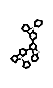 c1ccc(-n2c3ccccc3c3cc(-c4cc(-c5ccc6c7ccccc7n(-c7ccccc7)c6c5)c5c(c4)sc4ccccc45)ccc32)cc1